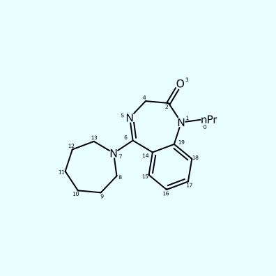 CCCN1C(=O)CN=C(N2CCCCCC2)c2ccccc21